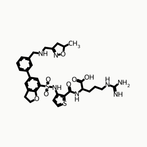 CC1CC(CNCc2cccc(-c3cc4c(c(S(=O)(=O)Nc5ccsc5C(=O)NC(CCCNC(=N)N)C(=O)O)c3)OCC4)c2)=NO1